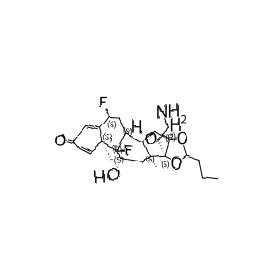 CCCC1O[C@@H]2CC3[C@@H]4C[C@H](F)C5=CC(=O)C=C[C@]5(C)[C@@]4(F)[C@@H](O)C[C@]3(C)[C@]2(C(=O)CN)O1